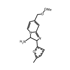 COOCC1=CC2=NC(c3ccc(C)o3)C(N)N2C=C1